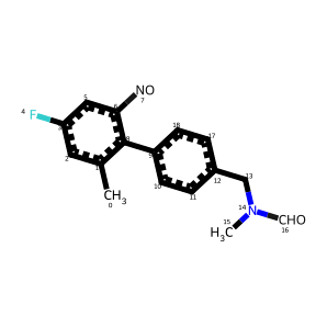 Cc1cc(F)cc(N=O)c1-c1ccc(CN(C)C=O)cc1